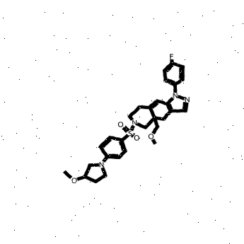 COCC12Cc3cnn(-c4ccc(F)cc4)c3C=C1CCN(S(=O)(=O)c1ccc(N3CCC(OC)C3)cc1)C2